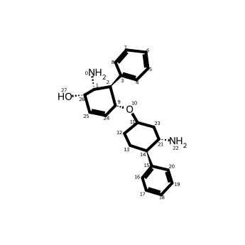 N[C@@H]1[C@@H](c2ccccc2)[C@H](OC2CC[C@H](c3ccccc3)[C@@H](N)C2)C=C[C@@H]1O